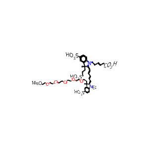 CCN1/C(=C/C=C/C=C/C2=[N+](CCCCCC(=O)O)c3ccc(S(=O)(=O)O)cc3C2(C)CCCS(=O)(=O)O)C(C)(CCOCCOCCOCCOCCOCCOC)c2cc(S(=O)(=O)O)ccc21